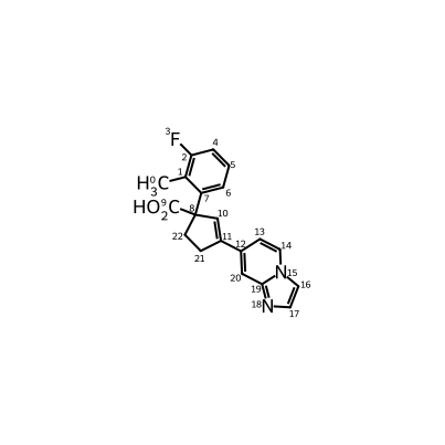 Cc1c(F)cccc1C1(C(=O)O)C=C(c2ccn3ccnc3c2)CC1